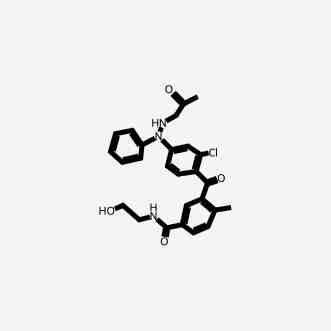 CC(=O)CNN(c1ccccc1)c1ccc(C(=O)c2cc(C(=O)NCCO)ccc2C)c(Cl)c1